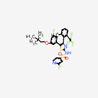 Cc1cccc(C(F)(F)F)c1-c1nc(NS(=O)(=O)c2ccnc(F)c2)sc1-c1cc(F)cc(OCCC(C)(C)C)c1